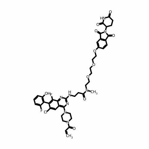 C=CC(=O)N1CCN(c2nc(NCCC(=O)N(C)CCOCCOCCOc3ccc4c(c3)C(=O)N(C3CCC(=O)NC3=O)C4=O)nc3c(F)c(-c4c(O)cccc4F)c(Cl)cc23)CC1